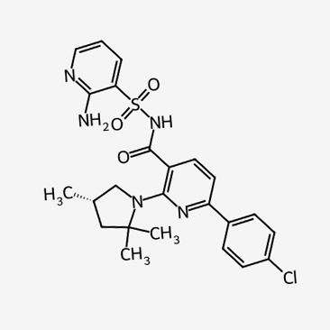 C[C@@H]1CN(c2nc(-c3ccc(Cl)cc3)ccc2C(=O)NS(=O)(=O)c2cccnc2N)C(C)(C)C1